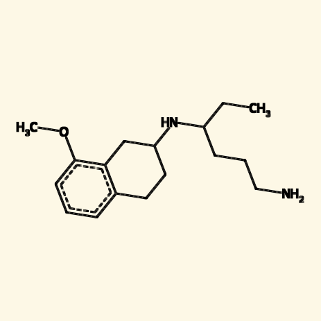 CCC(CCCN)NC1CCc2cccc(OC)c2C1